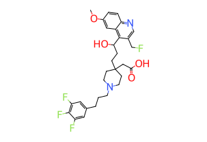 COc1ccc2ncc(CF)c(C(O)CCC3(CC(=O)O)CCN(CCCc4cc(F)c(F)c(F)c4)CC3)c2c1